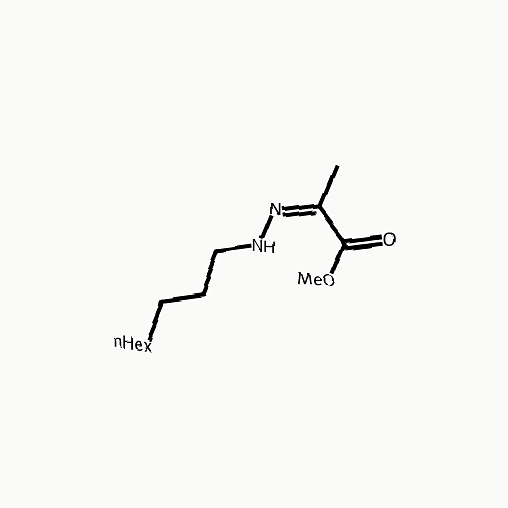 CCCCCCCCCN/N=C(/C)C(=O)OC